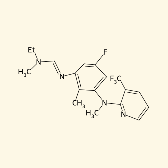 CCN(C)C=Nc1cc(F)cc(N(C)c2ncccc2C(F)(F)F)c1C